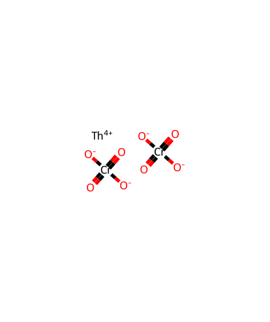 [O]=[Cr](=[O])([O-])[O-].[O]=[Cr](=[O])([O-])[O-].[Th+4]